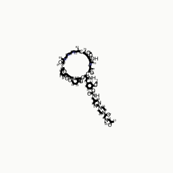 CO[C@H]1C[C@@H]2CC[C@@H](C)[C@@](O)(O2)C(=O)C(=O)N2CCCC[C@H]2C(=O)O[C@H]([C@H](N)C[C@@H]2CC[C@@H](OC(=O)NCc3cnc(N4CCN(C(=O)CN(C)CC(C)=O)CC4)nc3)[C@H](OC)C2)CC(=O)[C@H](C)/C=C(\C)[C@@H](O)[C@@H](OC)C(=O)[C@H](C)C[C@H](C)/C=C/C=C/C=C/1C